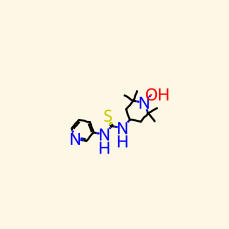 CC1(C)CC(NC(=S)Nc2cccnc2)CC(C)(C)N1O